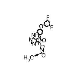 CC#CC(=O)N1CCC(n2c(=O)n(-c3ccc(Oc4cc(F)cc(F)c4)cc3)c3c(N)ncnc32)C1